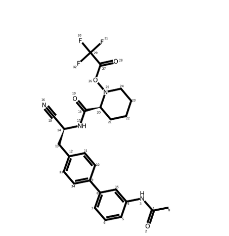 CC(=O)Nc1cccc(-c2ccc(C[C@@H](C#N)NC(=O)[C@@H]3CCCCN3OC(=O)C(F)(F)F)cc2)c1